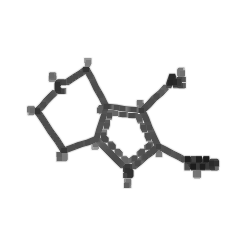 CNc1sc2c(c1C(C)=O)CCCC2